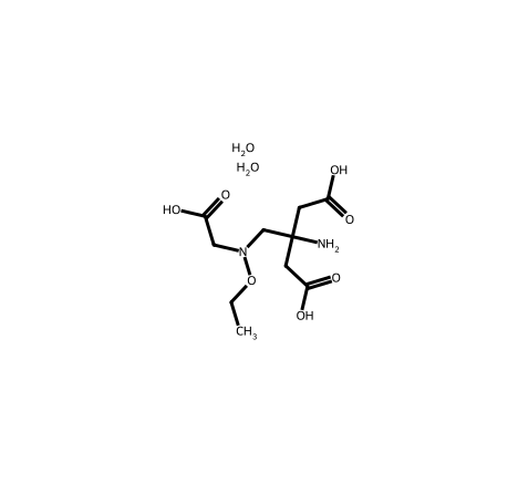 CCON(CC(=O)O)CC(N)(CC(=O)O)CC(=O)O.O.O